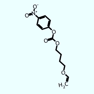 C=COCCCCOC(=O)Oc1ccc([N+](=O)[O-])cc1